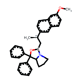 COc1ccc2cc([C@H](C)CB3OC(c4ccccc4)(c4ccccc4)C4CCCN34)ccc2c1